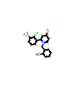 N#Cc1ccccc1Cn1ccc(=O)cc1-c1cccc(C(F)(F)F)c1Cl